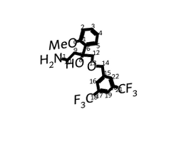 COc1ccccc1C(O)(CCN)COCc1cc(C(F)(F)F)cc(C(F)(F)F)c1